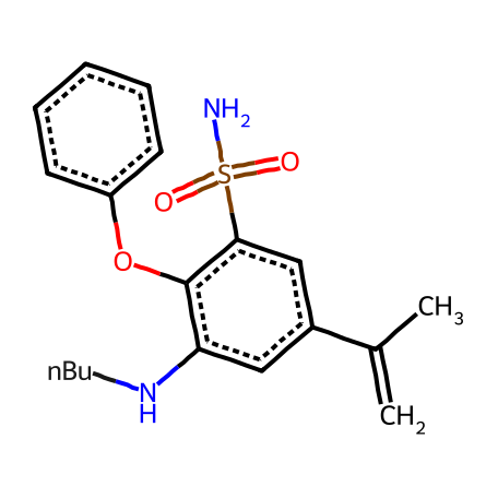 C=C(C)c1cc(NCCCC)c(Oc2ccccc2)c(S(N)(=O)=O)c1